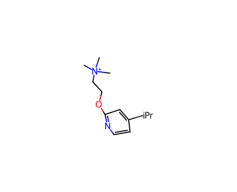 CC(C)c1ccnc(OCC[N+](C)(C)C)c1